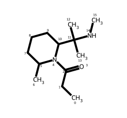 CCC(=O)N1C(C)CCCC1C(C)(C)NC